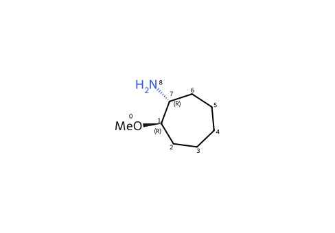 CO[C@@H]1CCCCC[C@H]1N